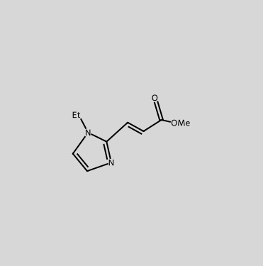 CCn1ccnc1/C=C/C(=O)OC